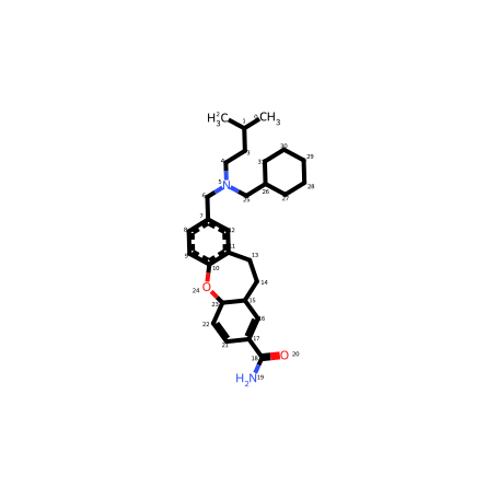 CC(C)CCN(Cc1ccc2c(c1)CCC1C=C(C(N)=O)C=CC1O2)CC1CCCCC1